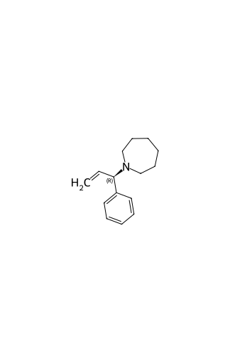 C=C[C@H](c1ccccc1)N1CCCCCC1